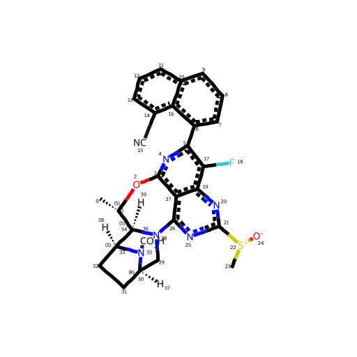 C[C@@H]1Oc2nc(-c3cccc4cccc(C#N)c34)c(F)c3nc([S+](C)[O-])nc(c23)N2C[C@H]3CC[C@@H]([C@@H]12)N3C(=O)O